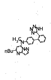 CCCCc1cc(N(C)c2ccc(-c3ccccc3-c3nnn[nH]3)cc2)n2nccc2n1